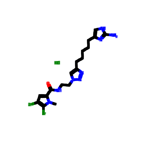 Cl.Cn1c(C(=O)NCCn2cc(CCCCCc3c[nH]c(N)n3)nn2)cc(Br)c1Br